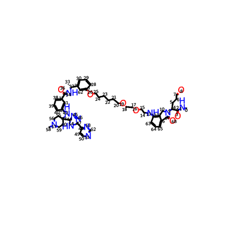 CNC(=O)C(CCC=O)N1Cc2c(NCCOCCOCCCCCCOc3cccc([C@@H](C)NC(=O)c4cccc(NC5(c6nnc(-c7ccncn7)[nH]6)CCN(C)CC5)c4)c3)cccc2C1=O